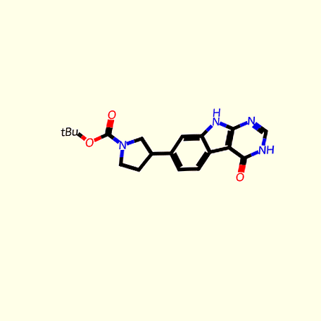 CC(C)(C)OC(=O)N1CCC(c2ccc3c(c2)[nH]c2nc[nH]c(=O)c23)C1